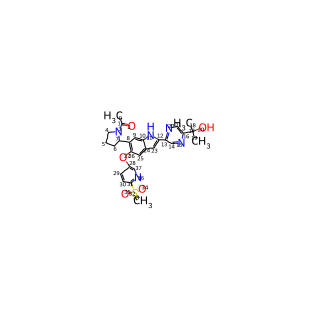 CC(=O)N1CCCC1c1cc2[nH]c(-c3cnc(C(C)(C)O)cn3)cc2cc1Oc1ccc(S(C)(=O)=O)nc1